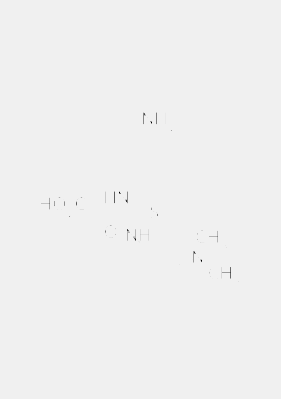 CN(C)c1cccc(NC(=S)Nc2ccc(N)cc2)c1.O=C(O)c1ccco1